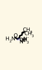 CC(C)=CCC/C(C)=C\C(N)=O.[N-]=[N+]=[N-]